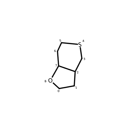 C1CC2CSCCC2O1